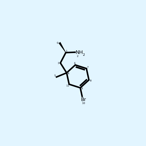 C[C@@H](N)CC1(C)C=CC=C(Br)C1